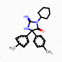 Cc1ccc(C2(c3ccc(C)cc3)NC(=N)N(C3CCCCC3)C2=O)cc1